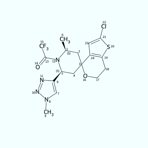 C[C@H]1CC2(C[C@@H](c3cn(C)nn3)N1C(=O)C(F)(F)F)OCCc1sc(Cl)cc12